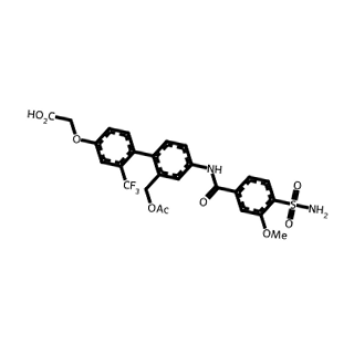 COc1cc(C(=O)Nc2ccc(-c3ccc(OCC(=O)O)cc3C(F)(F)F)c(COC(C)=O)c2)ccc1S(N)(=O)=O